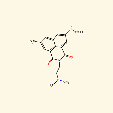 CCOC(=O)Nc1cc2c3c(cc([N+](=O)[O-])cc3c1)C(=O)N(CCN(C)C)C2=O